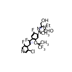 CCN(C=O)/C(CO)=N\N(C)c1cc(O[C@@H](C)C(F)(F)F)c(/C(F)=C/c2c(F)cncc2Cl)cc1F